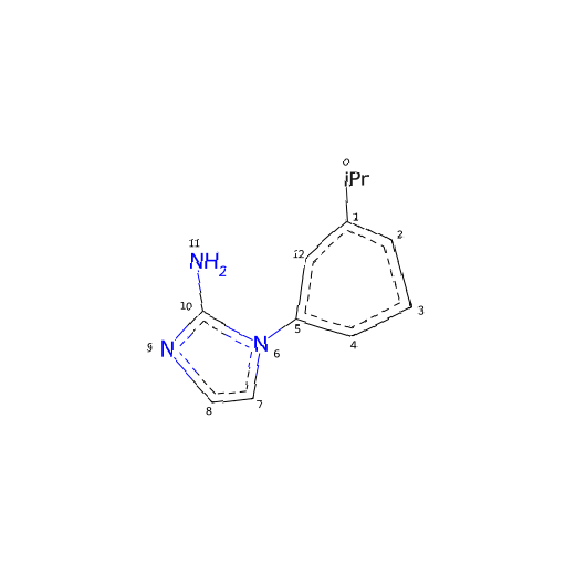 CC(C)c1cccc(-n2ccnc2N)c1